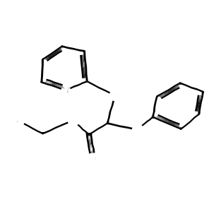 CCOC(=O)C(Oc1ccccc1)Oc1ccccn1